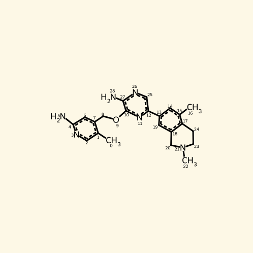 Cc1cnc(N)cc1COc1nc(-c2cc(C)c3c(c2)CN(C)CC3)cnc1N